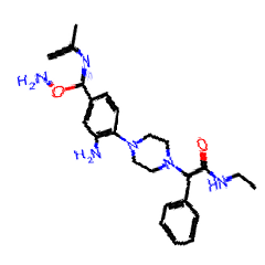 C=C(C)/N=C(\ON)c1ccc(N2CCN(C(C(=O)NCC)c3ccccc3)CC2)c(N)c1